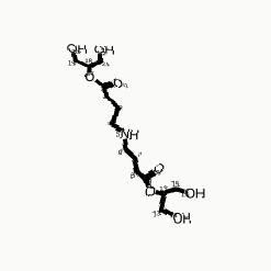 O=C(CCCNCCCC(=O)OC(CO)CO)OC(CO)CO